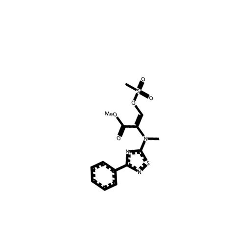 COC(=O)C(=COS(C)(=O)=O)N(C)c1nc(-c2ccccc2)ns1